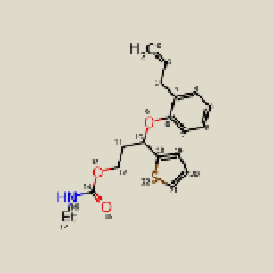 C=CCc1ccccc1OC(CCOC(=O)NCC)c1cccs1